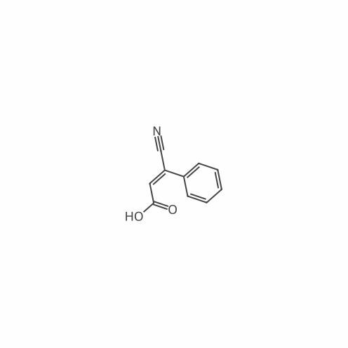 N#C/C(=C/C(=O)O)c1ccccc1